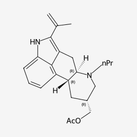 C=C(C)c1[nH]c2cccc3c2c1C[C@@H]1[C@@H]3C[C@@H](COC(C)=O)CN1CCC